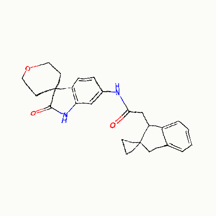 O=C(CC1c2ccccc2CC12CC2)Nc1ccc2c(c1)NC(=O)C21CCOCC1